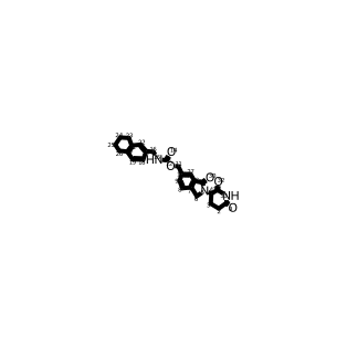 O=C1CCC(N2Cc3ccc(COC(=O)NCc4ccc5c(c4)CCCC5)cc3C2=O)C(=O)N1